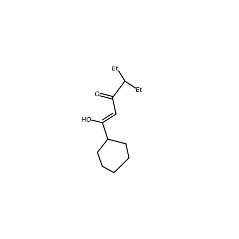 CCC(CC)C(=O)/C=C(\O)C1CCCCC1